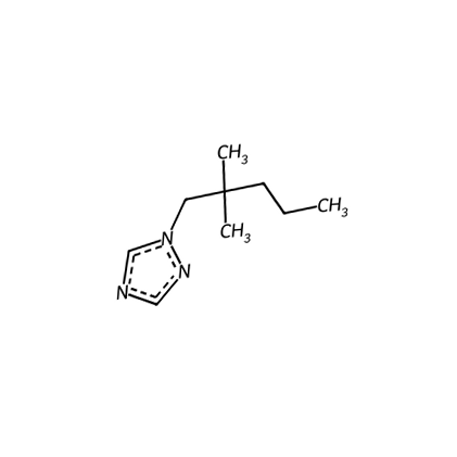 CCCC(C)(C)Cn1cncn1